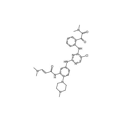 CN(C)C=CC(=O)Nc1cc(Nc2ncc(Cl)c(Nc3ccccc3C(=O)C(=O)N(C)C)n2)ccc1N1CCN(C)CC1